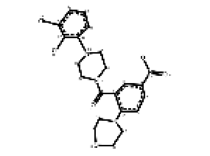 O=C(c1cc([N+](=O)[O-])ccc1N1CCOCC1)N1CCN(c2cccc(Cl)c2Cl)CC1